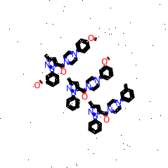 C=O.COc1ccc(N2CCN(C(=O)c3cc(C)nn3-c3ccccc3)CC2)cc1.COc1cccc(N2CCN(C(=O)c3cc(C)nn3-c3ccccc3)CC2)c1.Cc1cccc(N2CCN(C(=O)c3cc(C)nn3-c3ccccc3)CC2)c1